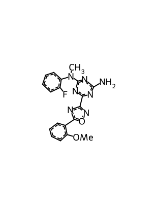 COc1ccccc1-c1nc(-c2nc(N)nc(N(C)c3ccccc3F)n2)no1